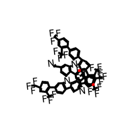 N#Cc1cccc(-c2c(-n3c4cc(-c5ccc(C(F)(F)F)cc5C(F)(F)F)ccc4c4ccc(-c5ccc(C(F)(F)F)cc5C(F)(F)F)cc43)cc(C#N)cc2-n2c3cc(-c4ccc(C(F)(F)F)cc4C(F)(F)F)ccc3c3ccc(-c4ccc(C(F)(F)F)cc4C(F)(F)F)cc32)c1